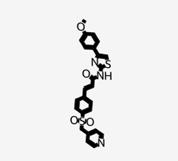 COc1ccc(-c2csc(NC(=O)C=Cc3ccc(S(=O)(=O)Cc4ccncc4)cc3)n2)cc1